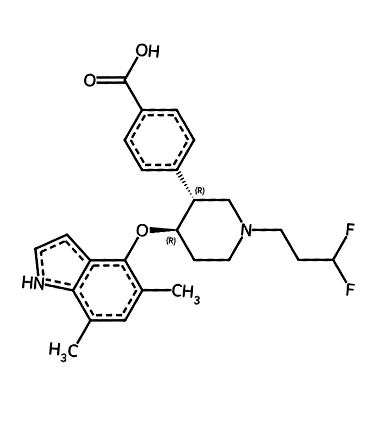 Cc1cc(C)c2[nH]ccc2c1O[C@@H]1CCN(CCC(F)F)C[C@H]1c1ccc(C(=O)O)cc1